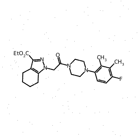 CCOC(=O)c1nn(CC(=O)N2CCN(c3ccc(F)c(C)c3C)CC2)c2c1CCCC2